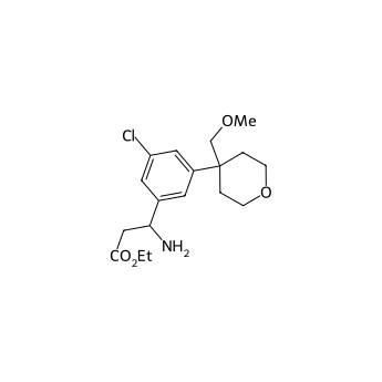 CCOC(=O)CC(N)c1cc(Cl)cc(C2(COC)CCOCC2)c1